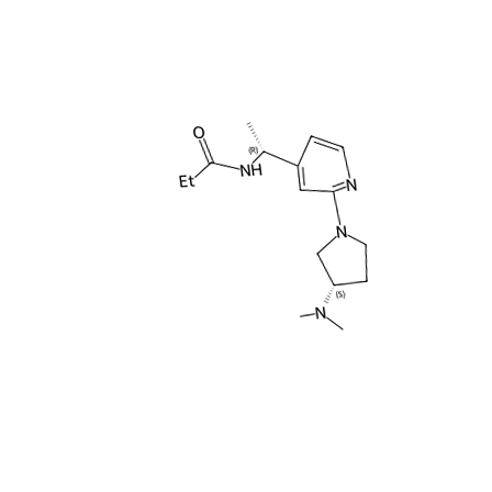 CCC(=O)N[C@H](C)c1ccnc(N2CC[C@H](N(C)C)C2)c1